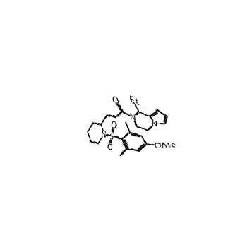 CCC1c2cccn2CCN1C(=O)CCC1CCCCN1S(=O)(=O)c1c(C)cc(OC)cc1C